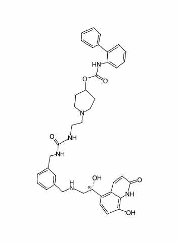 O=C(NCCN1CCC(OC(=O)Nc2ccccc2-c2ccccc2)CC1)NCc1cccc(CNC[C@H](O)c2ccc(O)c3[nH]c(=O)ccc23)c1